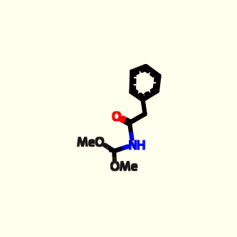 CO[C](NC(=O)Cc1ccccc1)OC